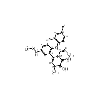 CCSNc1ccc(Oc2ccc(F)cc2F)c(C2=CN(C)C(O)C(=N)N2/C=N\C)c1